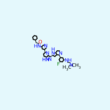 CN(C)CCNc1cc(F)cc(-c2nccc3[nH]c(-c4n[nH]c5ccc(-c6cncc(NC(=O)Cc7ccccc7)c6)nc45)cc23)c1